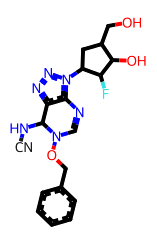 N#CNC1c2nnn(C3CC(CO)C(O)C3F)c2N=CN1OCc1ccccc1